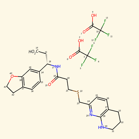 O=C(O)C(F)(F)F.O=C(O)C(F)(F)F.O=C(O)C[C@H](NC(=O)CCSCc1ccc2c(n1)NCCC2)c1ccc2c(c1)OCC2